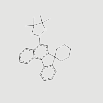 CC1(C)OB(c2cc3c(c4ccccc24)-c2ccccc2C32CCCCC2)OC1(C)C